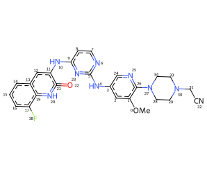 COc1cc(Nc2nccc(Nc3cc4cccc(F)c4[nH]c3=O)n2)cnc1N1CCN(CC#N)CC1